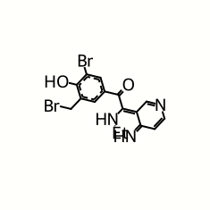 CCN/C(C(=O)c1cc(Br)c(O)c(CBr)c1)=C1/C=NC=CC1=N